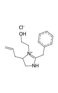 C=CCC1CNC(Cc2ccccc2)=[N+]1CCO.[Cl-]